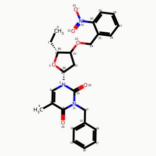 CC[C@H]1O[C@@H](n2cc(C)c(=O)n(Cc3ccccc3)c2=O)CC1OCc1ccccc1[N+](=O)[O-]